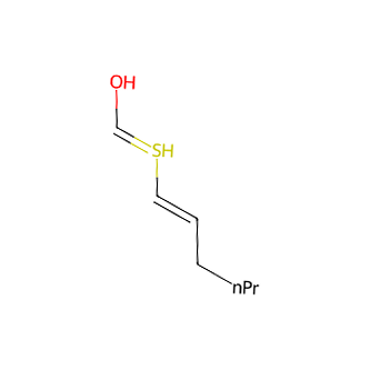 CCCCC=C[SH]=CO